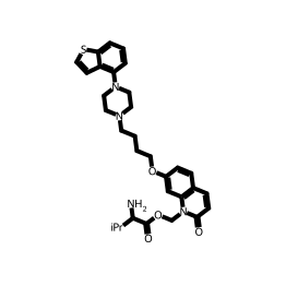 CC(C)C(N)C(=O)OCn1c(=O)ccc2ccc(OCCCCN3CCN(c4cccc5sccc45)CC3)cc21